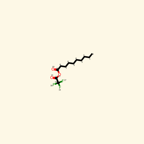 CCCCCCCCCC(=O)OC(=O)C(F)(F)F